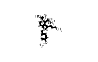 CCC=Cc1nn(Cc2ccc(OC)cc2)c2c1C(C(C)(C)C)N(C(=O)O)CC2